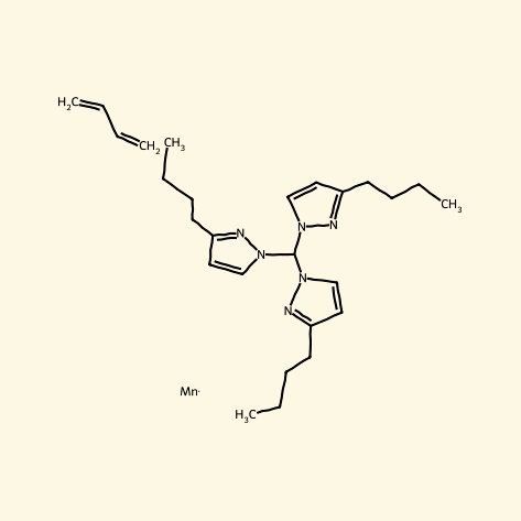 C=CC=C.CCCCc1ccn(C(n2ccc(CCCC)n2)n2ccc(CCCC)n2)n1.[Mn]